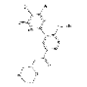 CCCOc1ccc(C(=O)CC2CNCCO2)cc1-c1nc(C(C)C)c(Br)c(=O)[nH]1